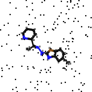 C/C(=N\Nc1nc2cc(C(F)(F)F)ccc2s1)c1ccccn1